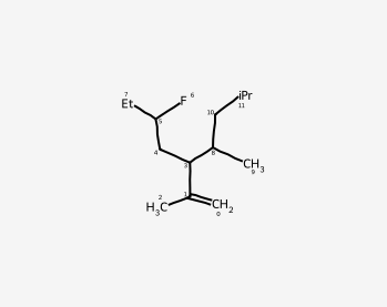 C=C(C)C(CC(F)CC)C(C)CC(C)C